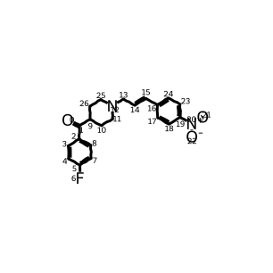 O=C(c1ccc(F)cc1)C1CCN(C/C=C/c2ccc([N+](=O)[O-])cc2)CC1